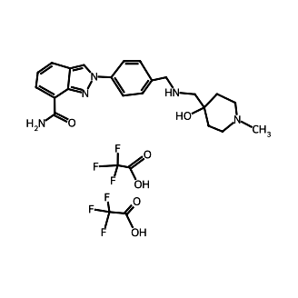 CN1CCC(O)(CNCc2ccc(-n3cc4cccc(C(N)=O)c4n3)cc2)CC1.O=C(O)C(F)(F)F.O=C(O)C(F)(F)F